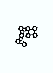 c1ccc2c(c1)-c1ccccc1-c1ccc3c4cccc5c6cc7c8cccc9c%10ccccc%10n(c7cc6n(c3c1-c1ccccc1-2)c54)c98